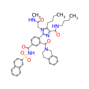 CCCCNC(=O)c1nc(-c2ccc(C(=O)NS(=O)(=O)c3ccc4ccccc4c3)cc2C(=O)N2CCc3ccccc3C2)n(CC(=O)NC)c1CCCC